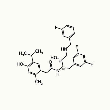 Cc1cc(O)c(C(C)C)cc1CC(=O)N[C@@H](Cc1cc(F)cc(F)c1)[C@H](O)CNCc1cccc(I)c1